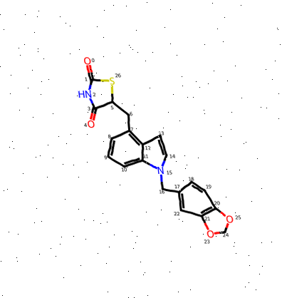 O=C1NC(=O)C(Cc2cccc3c2ccn3Cc2ccc3c(c2)OCO3)S1